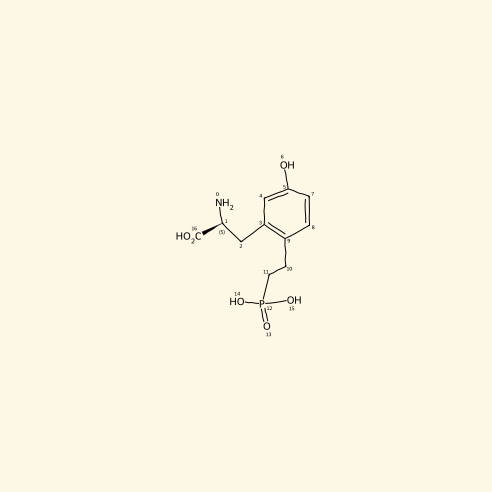 N[C@@H](Cc1cc(O)ccc1CCP(=O)(O)O)C(=O)O